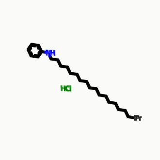 CC(C)CCCCCCCCCCCCCCCCCNc1ccccc1.Cl